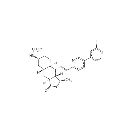 CCOC(=O)N[C@H]1CC[C@@H]2[C@@H](C1)C[C@@H]1C(=O)O[C@H](C)[C@H]1[C@H]2/C=C/c1ccc(-c2cccc(F)c2)cn1